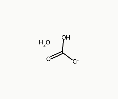 O.O=[C](O)[Cr]